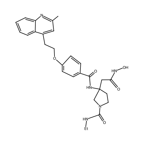 CCNC(=O)N1CCC(CC(=O)NO)(NC(=O)c2ccc(OCCc3cc(C)nc4ccccc34)cc2)C1